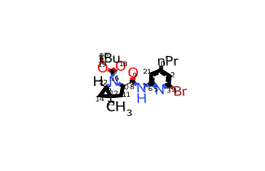 CCCc1cc(Br)nc(NC(=O)[C@@H]2C[C@@]3(C)C[C@H]3N2C(=O)OC(C)(C)C)c1